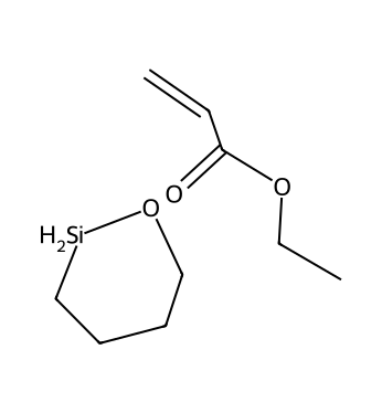 C1CC[SiH2]OC1.C=CC(=O)OCC